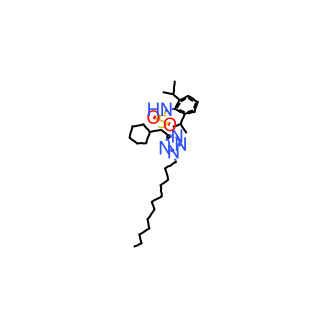 CCCCCCCCCCCCn1nnc(C(C2CCCCC2)S(=O)(=O)Nc2c(C(C)C)cccc2C(C)C)n1